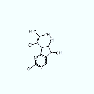 CC(C)=C(Cl)C1c2nc(Cl)ncc2N(C)C1Cl